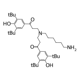 CC(C)(C)c1cc(C(=O)CCN(CCCCCCN)CCC(=O)c2cc(C(C)(C)C)c(O)c(C(C)(C)C)c2)cc(C(C)(C)C)c1O